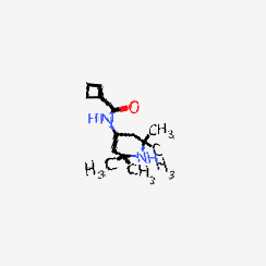 CC1(C)CC(NC(=O)C2CCC2)CC(C)(C)N1